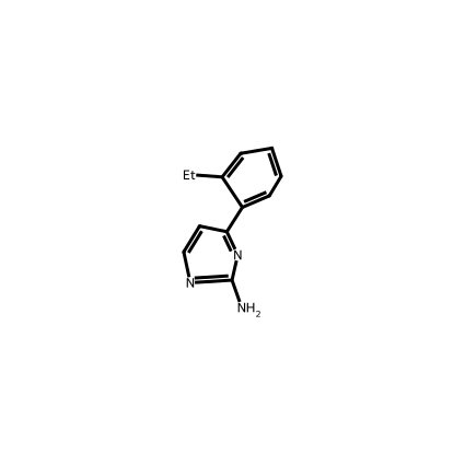 CCc1ccccc1-c1ccnc(N)n1